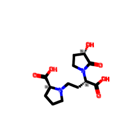 O=C(O)[C@@H]1CCCN1CC[C@@H](C(=O)O)N1CC[C@H](O)C1=O